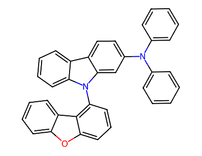 c1ccc(N(c2ccccc2)c2ccc3c4ccccc4n(-c4cccc5oc6ccccc6c45)c3c2)cc1